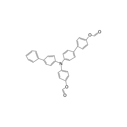 O=COc1ccc(-c2ccc(N(c3ccc(OC=O)cc3)c3ccc(-c4ccccc4)cc3)cc2)cc1